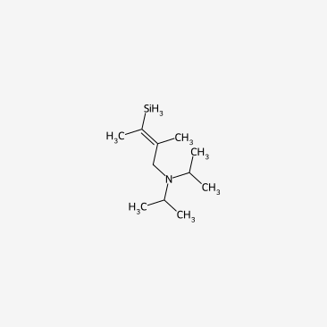 CC([SiH3])=C(C)CN(C(C)C)C(C)C